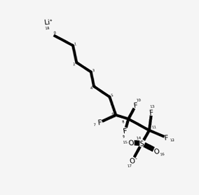 CCCCCCC(F)C(F)(F)C(F)(F)S(=O)(=O)[O-].[Li+]